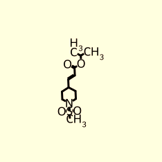 CC(C)OC(=O)C=CC1CCN(S(C)(=O)=O)CC1